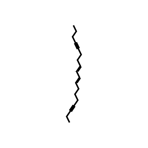 CCC#CCCCC=C/[C]=C/CCC#CCCC